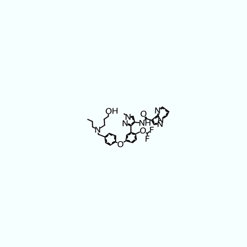 CCCN(CCCO)Cc1ccc(Oc2ccc(OC(F)F)c(-c3nn(C)cc3NC(=O)c3cnn4cccnc34)c2)cc1